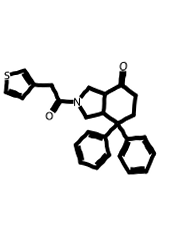 O=C1CCC(c2ccccc2)(c2ccccc2)C2CN(C(=O)Cc3ccsc3)CC12